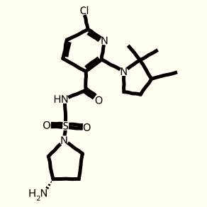 CC1CCN(c2nc(Cl)ccc2C(=O)NS(=O)(=O)N2CC[C@H](N)C2)C1(C)C